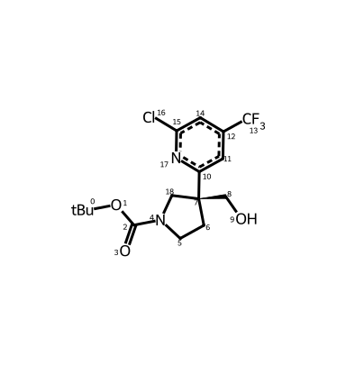 CC(C)(C)OC(=O)N1CC[C@@](CO)(c2cc(C(F)(F)F)cc(Cl)n2)C1